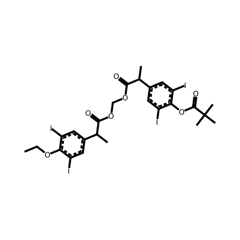 CCOc1c(I)cc(C(C)C(=O)OCOC(=O)C(C)c2cc(I)c(OC(=O)C(C)(C)C)c(I)c2)cc1I